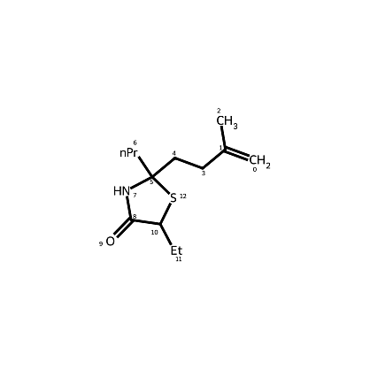 C=C(C)CCC1(CCC)NC(=O)C(CC)S1